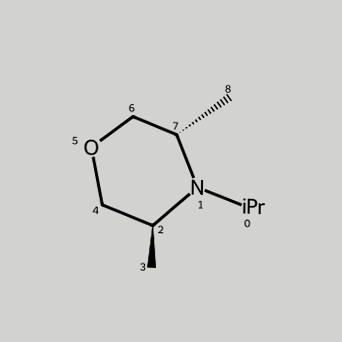 CC(C)N1[C@@H](C)COC[C@@H]1C